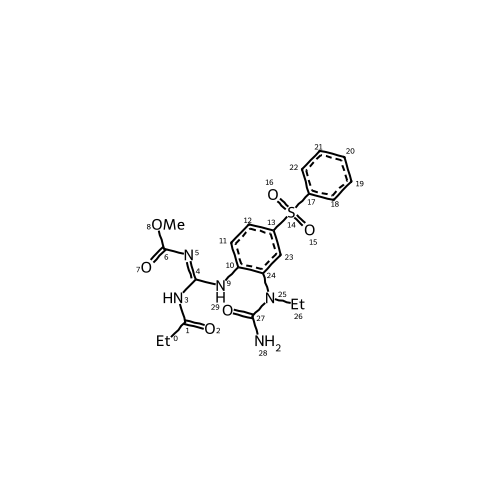 CCC(=O)NC(=NC(=O)OC)Nc1ccc(S(=O)(=O)c2ccccc2)cc1N(CC)C(N)=O